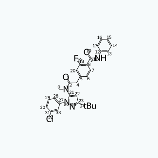 CN(C(=O)Cc1ccc(C(=O)Nc2ccccc2)c(F)c1)c1cc(C(C)(C)C)nn1-c1cccc(Cl)c1